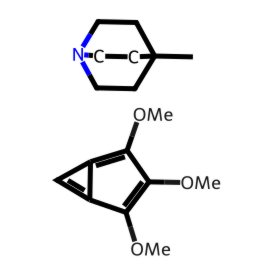 CC12CCN(CC1)CC2.COc1c2cc-2c(OC)c1OC